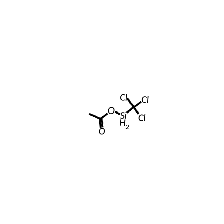 CC(=O)O[SiH2]C(Cl)(Cl)Cl